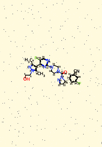 Cc1nn(CCO)c(C)c1-c1nc(N2CCN(C(=O)N3N=CC[C@H]3c3cc(F)cc(C#N)c3)CC2)ncc1F